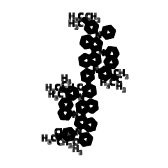 Cc1ccccc1N(c1ccc(C(C)(C)C)cc1)c1cc2c(c3ccccc13)c1c3ccccc3c(N(c3ccc(C(C)(C)C)cc3)c3cccc(-c4cccc(N(c5ccc(C(C)(C)C)cc5)c5cc6c(c7ccccc57)c5c7ccccc7c(N(c7ccccc7)c7ccc(C(C)(C)C)cc7)cc5n6-c5cccc6ccccc56)c4)c3C)cc1n2-c1cccc2ccccc12